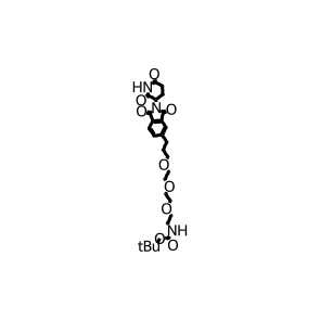 CC(C)(C)OC(=O)NCCOCCOCCOCCCc1ccc2c(c1)C(=O)N(C1CCC(=O)NC1=O)C2=O